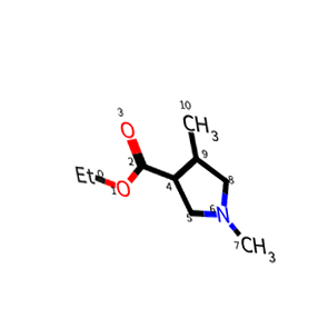 CCOC(=O)C1CN(C)CC1C